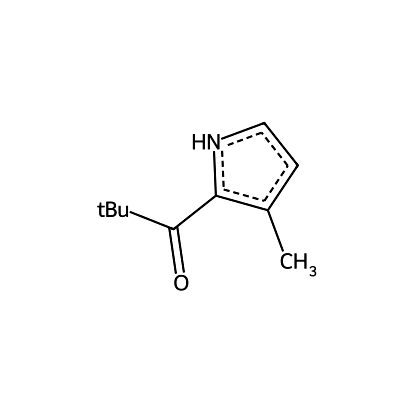 Cc1cc[nH]c1C(=O)C(C)(C)C